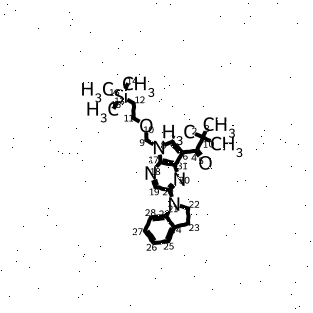 CC(C)(C)C(=O)c1cn(COCC[Si](C)(C)C)c2ncc(N3CCc4ccccc43)nc12